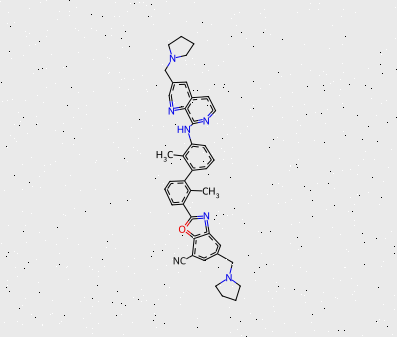 Cc1c(Nc2nccc3cc(CN4CCCC4)cnc23)cccc1-c1cccc(-c2nc3cc(CN4CCCC4)cc(C#N)c3o2)c1C